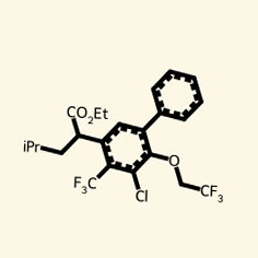 CCOC(=O)C(CC(C)C)c1cc(-c2ccccc2)c(OCC(F)(F)F)c(Cl)c1C(F)(F)F